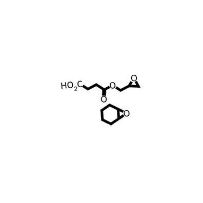 C1CCC2OC2C1.O=C(O)CCC(=O)OCC1CO1